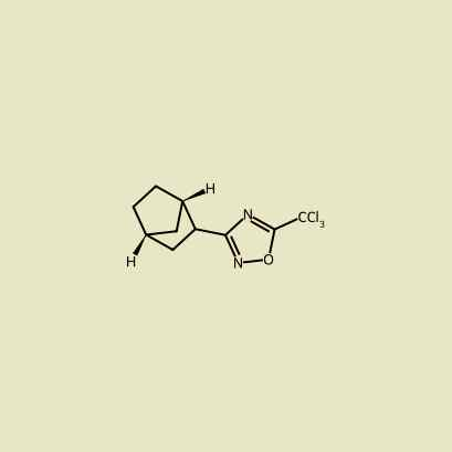 ClC(Cl)(Cl)c1nc(C2C[C@@H]3CC[C@H]2C3)no1